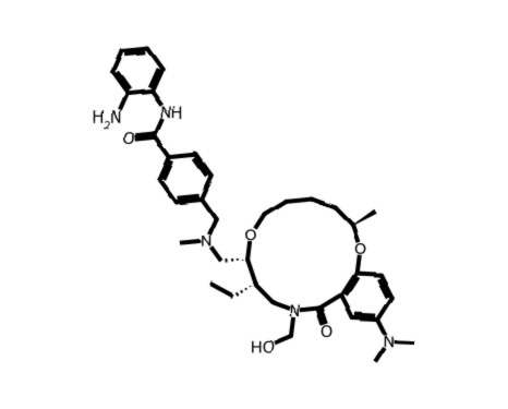 CC[C@H]1CN(CO)C(=O)c2cc(N(C)C)ccc2O[C@H](C)CCCCO[C@H]1CN(C)Cc1ccc(C(=O)Nc2ccccc2N)cc1